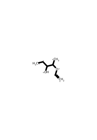 C=COC(C)C(O)CC